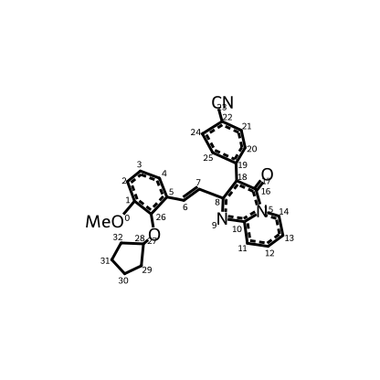 COc1cccc(/C=C/c2nc3ccccn3c(=O)c2-c2ccc(C#N)cc2)c1OC1CCCC1